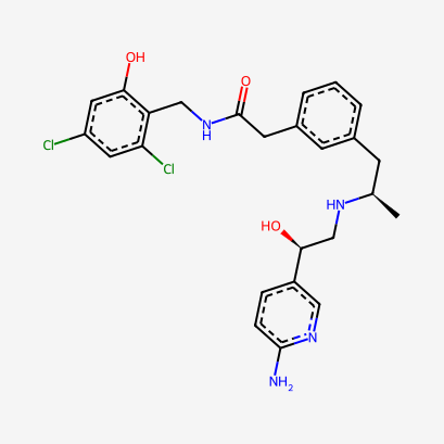 C[C@H](Cc1cccc(CC(=O)NCc2c(O)cc(Cl)cc2Cl)c1)NC[C@H](O)c1ccc(N)nc1